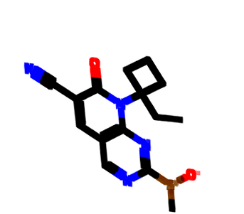 CCC1(n2c(=O)c(C#N)cc3cnc([S+](C)[O-])nc32)CCC1